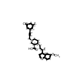 COc1ccc2nccc([C@@H](F)CC[C@@H]3CCN(CC#Cc4cc(F)cc(Cl)c4)C[C@@H]3C(=O)O)c2c1